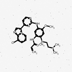 C=CC(=O)Nc1cc(Nc2nccc(-c3cnc4c(Cl)cccn34)n2)c(OC)cc1N(C)CCN(C)C